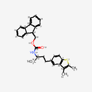 Cc1sc2ccc(CC[C@H](NC(=O)OCC3c4ccccc4-c4ccccc43)C(=O)O)cc2c1C